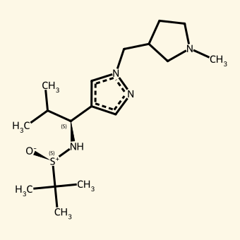 CC(C)[C@H](N[S@+]([O-])C(C)(C)C)c1cnn(CC2CCN(C)C2)c1